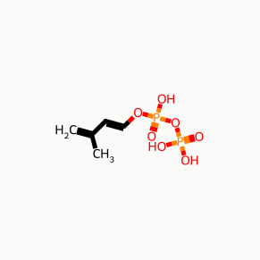 C=C(C)C=COP(=O)(O)OP(=O)(O)O